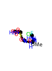 COc1cc2ncnc(Nc3ccc(F)c(Cl)c3)c2cc1NC(=O)/C=C/CN1CCN(C(=O)CCCSc2cccc3c2CN(C2CCC(=O)NC2=O)C3=O)CC1